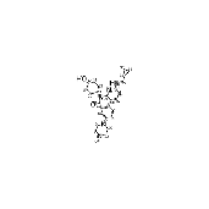 CN1CCN(c2ccc3c(c2)c(=O)n(C2CCC(O)CC2)c2nc(NCC4CC4)ncc32)CC1